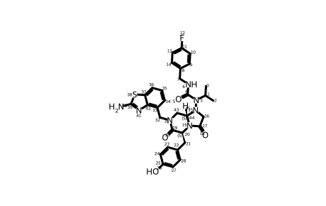 CC(C)N(C(=O)NCc1ccc(F)cc1)N1CC(=O)N2[C@@H](Cc3ccc(O)cc3)C(=O)N(Cc3cccc4sc(N)nc34)C[C@@H]21